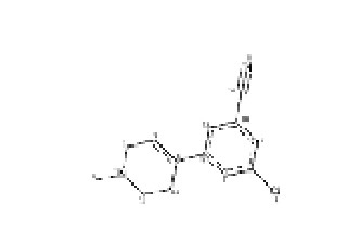 CN1CC=C(c2cc(Cl)cc(C#N)c2)CC1